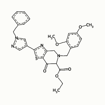 CCOC(=O)C1C(=O)c2sc(-c3cnn(Cc4ccccc4)c3)nc2CN1Cc1ccc(OC)cc1OC